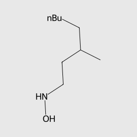 CCCCCC(C)CCNO